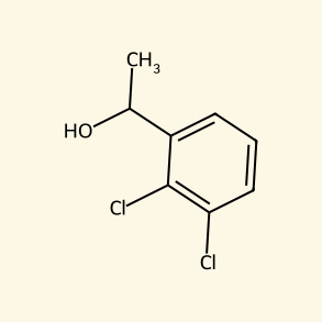 CC(O)c1cccc(Cl)c1Cl